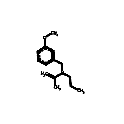 C=C(C)N(CCC)Cc1cccc(OC)c1